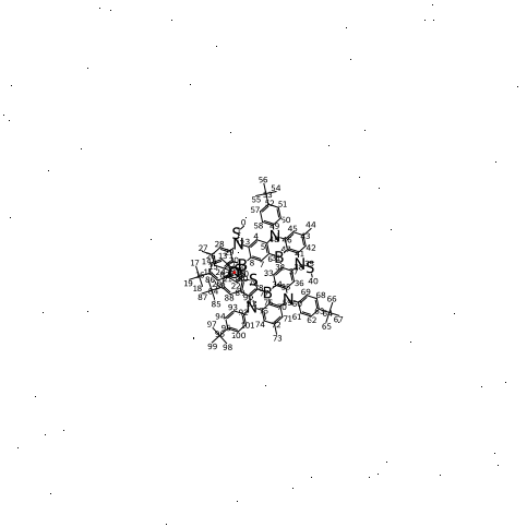 CSN1c2cc3c(cc2B2c4sc5ccc(C(C)(C)C)cc5c4Oc4cc(C)cc1c42)B1c2cc4c(cc2N(SC)c2cc(C)cc(c21)N3c1ccc(C(C)(C)C)cc1)N(c1ccc(C(C)(C)C)cc1)c1cc(C)cc2c1B4c1sc3ccc(C(C)(C)C)cc3c1N2c1ccc(C(C)(C)C)cc1